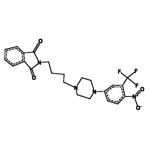 O=C1c2ccccc2C(=O)N1CCCCN1CCN(c2ccc([N+](=O)[O-])c(C(F)(F)F)c2)CC1